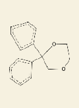 c1ccc(C2(c3ccccc3)COCCO2)cc1